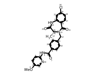 COc1ccc(NC(=O)c2ccc(CN3C(=O)c4ccc(Cl)cc4NC(=O)[C@H]3C)cc2)nc1